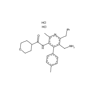 Cc1ccc(-c2c(CN)c(CC(C)C)nc(C)c2NC(=O)C2CCOCC2)cc1.Cl.Cl